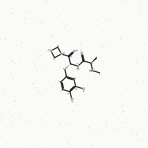 CN[C@H](C)C(=O)N[C@H](Cc1ccc(Cl)c(Cl)c1)C(=O)P1COC1